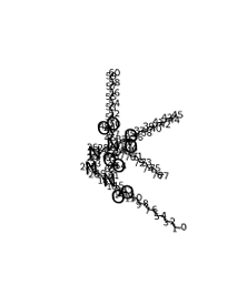 CCCCCCCCCCCCOC(=O)CCN(CCCN(C)CCN(C)CCCN(CCC(=O)OCCCCCCCCCC)CCC(=O)OCCCCCCCCCC)CCC(=O)OCCCCCCCCCCCC